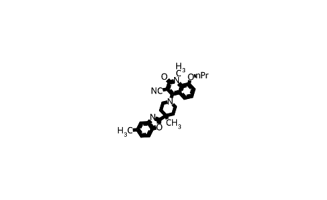 CCCOc1cccc2c(N3CCC(C)(c4nc5cc(C)ccc5o4)CC3)c(C#N)c(=O)n(C)c12